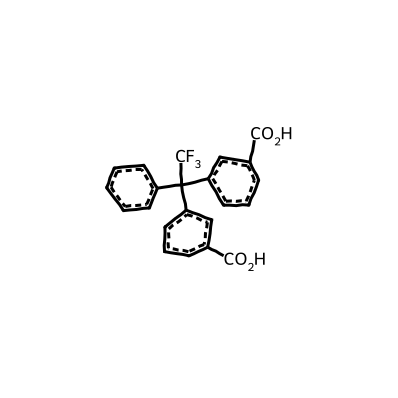 O=C(O)c1cccc(C(c2ccccc2)(c2cccc(C(=O)O)c2)C(F)(F)F)c1